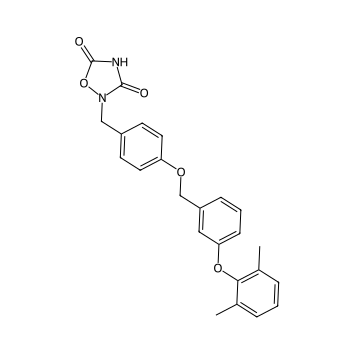 Cc1cccc(C)c1Oc1cccc(COc2ccc(Cn3oc(=O)[nH]c3=O)cc2)c1